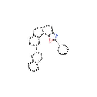 c1ccc(-c2nc3ccc4ccc5ccc(-c6ccc7ccccc7c6)cc5c4c3o2)cc1